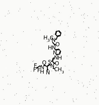 CCn1c(=O)/c(=C\Nc2cccc(NC(=O)CN(C)Cc3ccccc3)n2)s/c1=C(/C#N)C(=O)NCC(F)(F)F